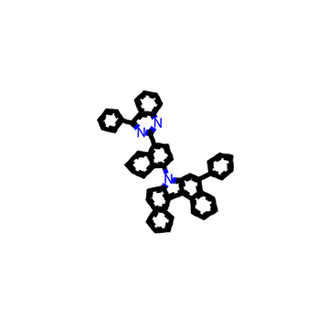 c1ccc(-c2nc(-c3ccc(-n4c5ccc6ccccc6c5c5c6ccccc6c(-c6ccccc6)cc54)c4ccccc34)nc3ccccc23)cc1